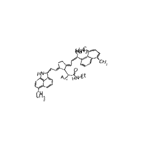 CCNC(=O)C(C(C)=O)C1/C(=C/C=C(/N)c2cccc3c(C)ccc(C)c23)CC/C1=C\C=c1\[nH]c2ccc(C)c3cccc1c23